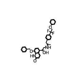 C[C@H](Cc1ccc(C(F)(F)COc2ccccc2)cc1)NC[C@H](O)c1ccc(OCc2ccccc2)c2[nH]c(=O)ccc12